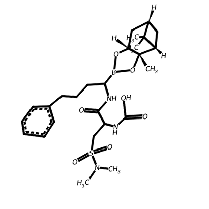 CN(C)S(=O)(=O)CC(NC(=O)O)C(=O)NC(CCCc1ccccc1)B1O[C@@H]2C[C@@H]3C[C@@H](C3(C)C)[C@]2(C)O1